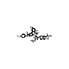 CCOC(=O)[C@@H]1CC2(CCN(c3cc(O[C@H](c4ccc(Cl)cc4-c4cccc(C(=O)NC5CCC(O)CC5)c4)C(F)(F)F)nc(N)n3)CC2)CN1